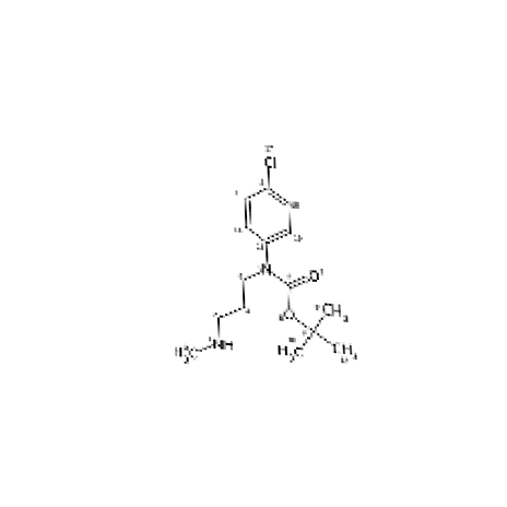 CNCCCN(C(=O)OC(C)(C)C)c1ccc(Cl)cc1